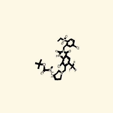 CCS(=O)(=O)c1ccc(Cl)cc1Cn1c(=O)[nH]c2c(Cl)c(CN3CC[C@H](CN(C)C(=O)OC(C)(C)C)C3)c(C(F)(F)F)cc2c1=O